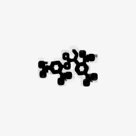 CCC(C(=O)Oc1ccc([N+](=O)[O-])cc1[N+](=O)[O-])c1ccc([N+](=O)[O-])cc1[N+](=O)[O-]